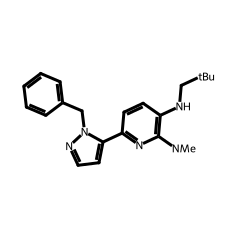 CNc1nc(-c2ccnn2Cc2ccccc2)ccc1NCC(C)(C)C